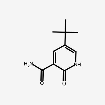 CC(C)(C)c1c[nH]c(=O)c(C(N)=O)c1